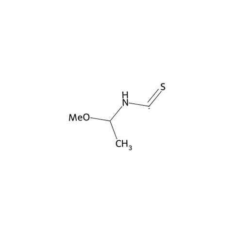 COC(C)N[C]=S